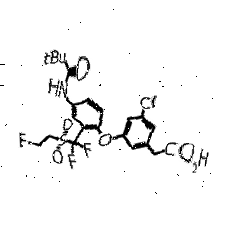 CC(C)(C)C(=O)Nc1ccc(Oc2cc(Cl)cc(CC(=O)O)c2)c(C(F)(F)S(=O)(=O)CCF)c1